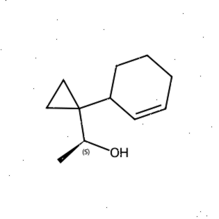 C[C@H](O)C1(C2C=CCCC2)CC1